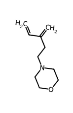 C=CC(=C)CCN1CCOCC1